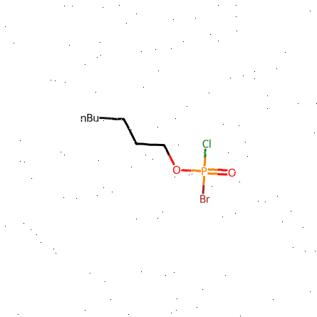 CCCCCCCOP(=O)(Cl)Br